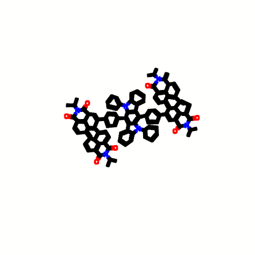 C=C1C2C=CC3=c4c2c(ccc4=C2C(c4ccc(-c5c6c7ccccc7n(-c7ccccc7)c6c(-c6ccc(C7=CC8C(=O)N(C(C)C)C(=O)c9ccc%10c(c98)=C7C7=CC=C8C(=O)N(C(C)C)C(=O)C9=C8C7C=%10C=C9)cc6)c6c7ccccc7n(-c7ccccc7)c56)cc4)=CC4=C5C(=CC=C3C52)C(=O)N(C(C)C)C4=O)C(=O)N1C(C)C